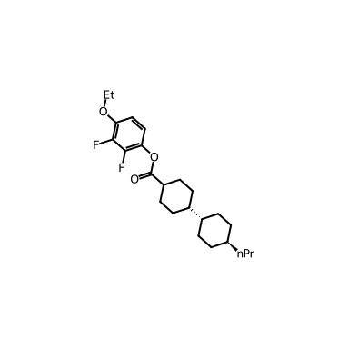 CCC[C@H]1CC[C@H](C2CCC(C(=O)Oc3ccc(OCC)c(F)c3F)CC2)CC1